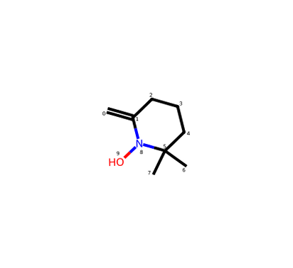 C=C1CCCC(C)(C)N1O